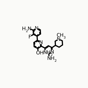 CN1CCCC(C(/C=C(\N)c2nc(-c3ccnc(N)c3F)ccc2O)=N/CN)C1